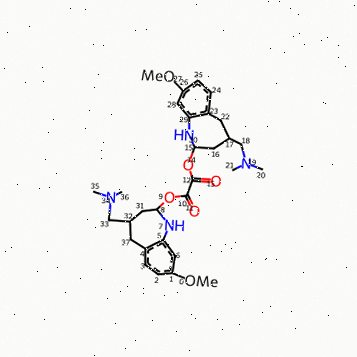 COc1ccc2c(c1)NC(OC(=O)C(=O)OC1CC(CN(C)C)Cc3ccc(OC)cc3N1)CC(CN(C)C)C2